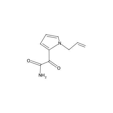 C=CCn1cccc1C(=O)C(N)=O